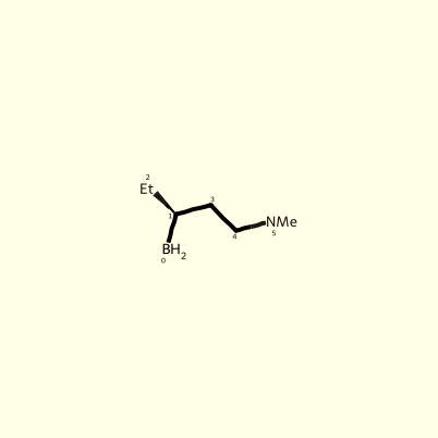 B[C@@H](CC)CCNC